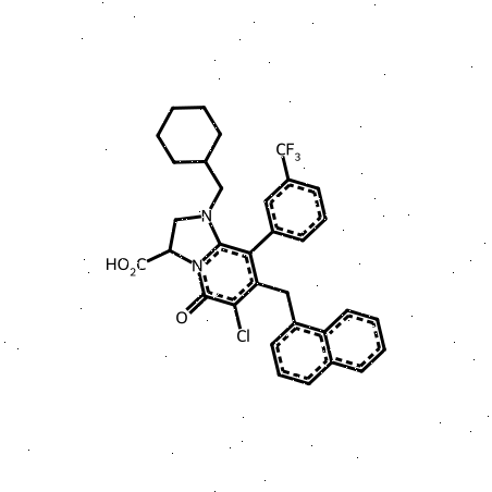 O=C(O)C1CN(CC2CCCCC2)c2c(-c3cccc(C(F)(F)F)c3)c(Cc3cccc4ccccc34)c(Cl)c(=O)n21